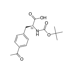 CC(=O)c1ccc(C[C@H](NC(=O)OC(C)(C)C)C(=O)O)cc1